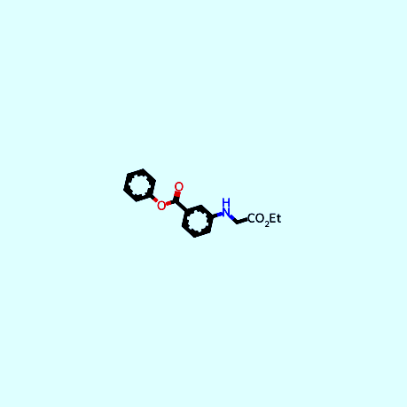 CCOC(=O)CNc1cccc(C(=O)Oc2ccccc2)c1